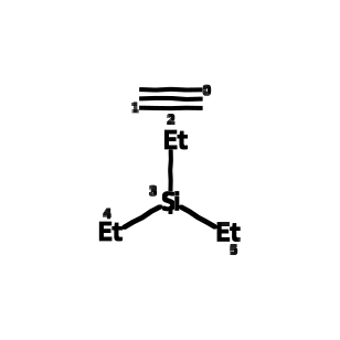 C#C.CC[Si](CC)CC